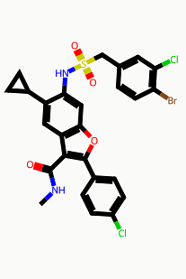 CNC(=O)c1c(-c2ccc(Cl)cc2)oc2cc(NS(=O)(=O)Cc3ccc(Br)c(Cl)c3)c(C3CC3)cc12